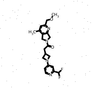 COCc1cc(C)c2c(n1)CN(C(=O)CC1CN(c3ccnc(C(F)F)c3)C1)C2